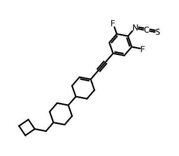 Fc1cc(C#CC2=CCC(C3CCC(CC4CCC4)CC3)CC2)cc(F)c1N=C=S